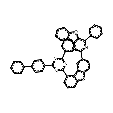 c1ccc(-c2ccc(-c3nc(-c4ccccc4)nc(-c4cccc5sc6ccc(-c7nc(-c8ccccc8)c8oc9ccccc9c8n7)cc6c45)n3)cc2)cc1